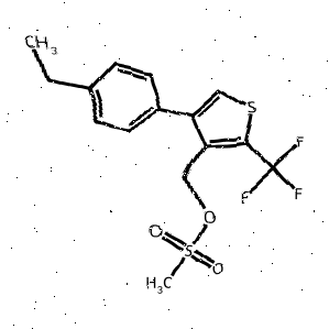 CCc1ccc(-c2csc(C(F)(F)F)c2COS(C)(=O)=O)cc1